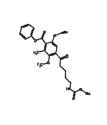 CCCCOc1cc(C(=O)CCCCNC(=O)OC(C)(C)C)c(OC(F)(F)F)c(C)c1C(=O)Oc1ccccc1